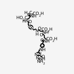 C[C@H](NC(=O)C[C@H](NC(=O)CN1CCN(CCNC(=O)C[C@H](NC(=O)CC[C@H](NC(=O)c2ccc(NCc3cnc4nc(N)[nH]c(=O)c4n3)cc2)C(=O)O)C(=O)O)CC1)C(=O)O)C(=O)O